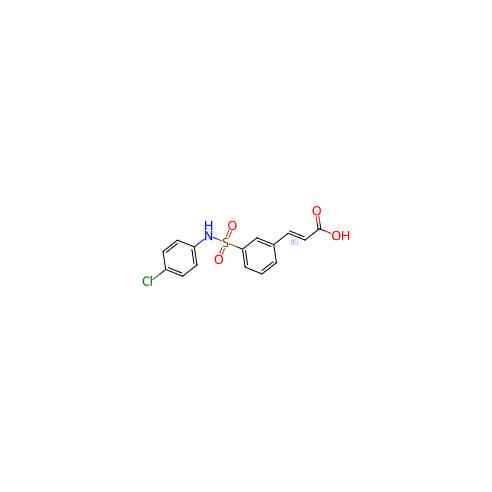 O=C(O)/C=C/c1cccc(S(=O)(=O)Nc2ccc(Cl)cc2)c1